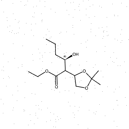 CCC[C@@H](O)C(C(=O)OCC)C1COC(C)(C)O1